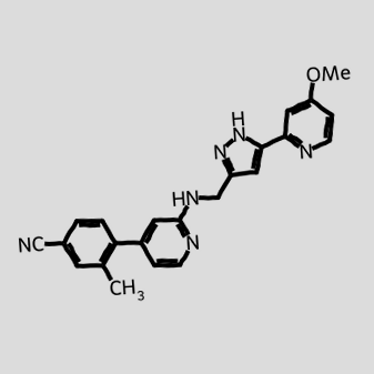 COc1ccnc(-c2cc(CNc3cc(-c4ccc(C#N)cc4C)ccn3)n[nH]2)c1